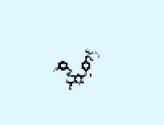 CS(=O)(=O)Cc1ccc(Nc2cc(NCc3cccc(F)c3)c(C(=O)I)nn2)cc1